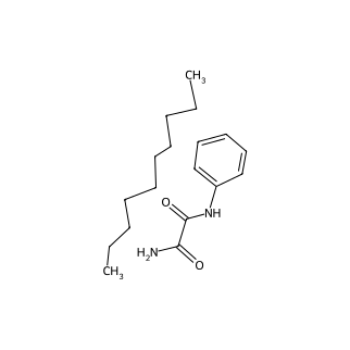 CCCCCCCCCC.NC(=O)C(=O)Nc1ccccc1